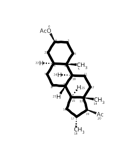 CC(=O)O[C@H]1CC[C@@]2(C)[C@@H](CC[C@@H]3[C@@H]2CC[C@@]2(C)[C@H]3C[C@@H](C)[C@@H]2C(C)=O)C1